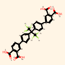 O=C(O)c1ccc(-c2ccc(C(c3ccc(-c4ccc(C(=O)O)c(C(=O)O)c4)cc3)(C(F)(F)F)C(F)(F)F)cc2)cc1C(=O)O